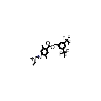 CCN(C)/C=N/c1cc(C)c(C(=O)OCc2cc(C(F)(F)F)cc(C(F)(F)F)c2)cc1C